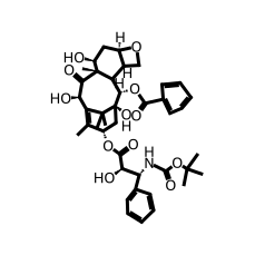 CC1=C2[C@@H](O)C(=O)[C@@]3(C)[C@@H]([C@@H]4CO[C@@H]4C[C@@H]3O)[C@H](OC(=O)c3ccccc3)[C@](O)(C[C@@H]1OC(=O)[C@H](O)[C@H](NC(=O)OC(C)(C)C)c1ccccc1)C2(C)C